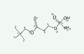 CC(C)(C)COC(=O)CCOP(N)(=O)O